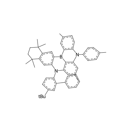 Cc1ccc(N2c3ccc(C)cc3B3c4cc5c(cc4N(c4ccc(C(C)(C)C)cc4-c4ccccc4)c4cc(C)cc2c43)C(C)(C)CCC5(C)C)cc1